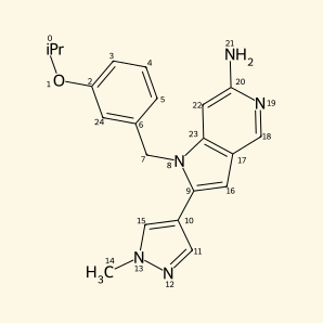 CC(C)Oc1cccc(Cn2c(-c3cnn(C)c3)cc3cnc(N)cc32)c1